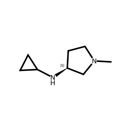 CN1CC[C@H](NC2CC2)C1